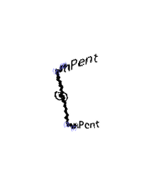 CCCCC/C=C\C/C=C\CCCCCCCCOC(=O)CCCCCCC/C=C\C/C=C\CCCCC